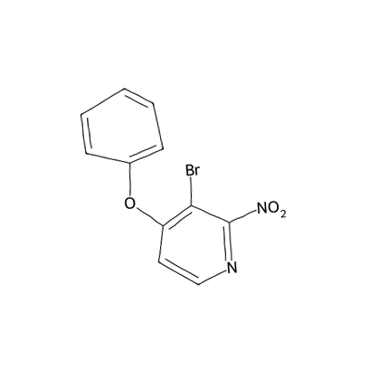 O=[N+]([O-])c1nccc(Oc2ccccc2)c1Br